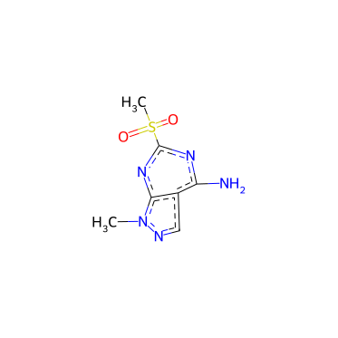 Cn1ncc2c(N)nc(S(C)(=O)=O)nc21